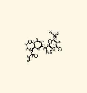 C=CC(=O)N1CCOc2ccc(-c3csc4c(=O)cc(N(C)C)oc34)cc21